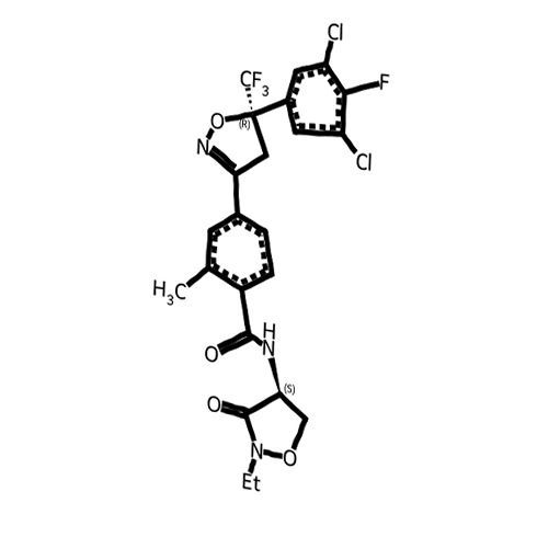 CCN1OC[C@H](NC(=O)c2ccc(C3=NO[C@](c4cc(Cl)c(F)c(Cl)c4)(C(F)(F)F)C3)cc2C)C1=O